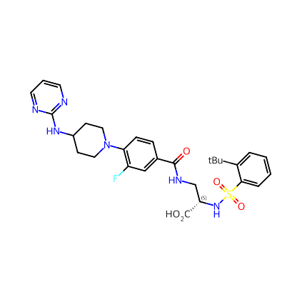 CC(C)(C)c1ccccc1S(=O)(=O)N[C@@H](CNC(=O)c1ccc(N2CCC(Nc3ncccn3)CC2)c(F)c1)C(=O)O